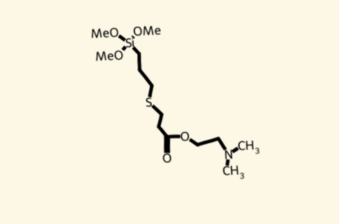 CO[Si](CCCSCCC(=O)OCCN(C)C)(OC)OC